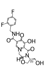 O=C(NCc1ccc(F)cc1F)c1cn2c(c(O)c1=O)C(=O)N1[C@@H](CO)CO[C@@H]1C2